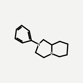 c1ccc(N2CCN3CCCCC3C2)cc1